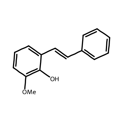 COc1cccc(C=Cc2ccccc2)c1O